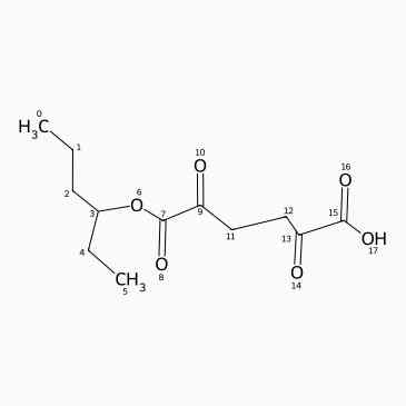 CCCC(CC)OC(=O)C(=O)CCC(=O)C(=O)O